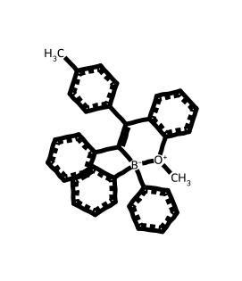 Cc1ccc(C2=C(c3ccccc3)[B-](c3ccccc3)(c3ccccc3)[O+](C)c3ccccc32)cc1